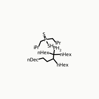 CC(C)CP(=S)(S)CC(C)C.CCCCCCCCCCCCC(CCCCCC)C(P)(CCCCCC)CCCCCC